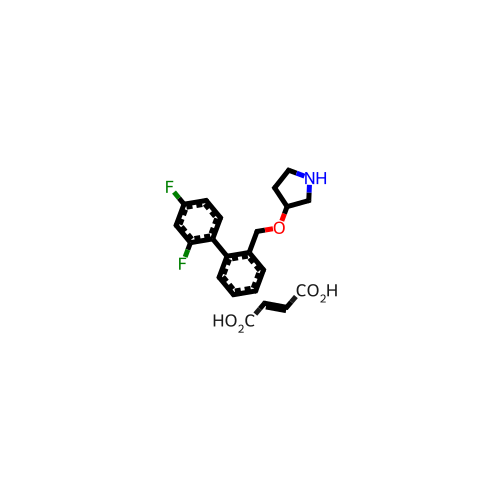 Fc1ccc(-c2ccccc2COC2CCNC2)c(F)c1.O=C(O)C=CC(=O)O